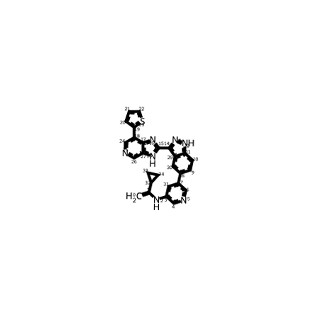 C=C(Nc1cncc(-c2ccc3[nH]nc(-c4nc5c(-c6cccs6)cncc5[nH]4)c3c2)c1)C1CC1